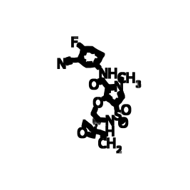 C=CC1([C@@H]2COc3c(cn(C)c3C(=O)Nc3ccc(F)c(C#N)c3)S(=O)(=O)N2)COC1